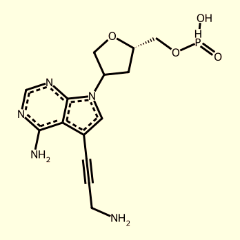 NCC#Cc1cn(C2CO[C@H](CO[PH](=O)O)C2)c2ncnc(N)c12